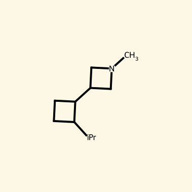 CC(C)C1CCC1C1CN(C)C1